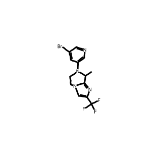 CC1c2nc(C(F)(F)F)cn2CCN1c1cncc(Br)c1